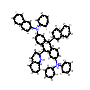 c1ccc(N(c2ccc3ccccc3c2)c2ccc3c(-c4ccc5ccccc5n4)c4cc(N(c5ccccc5)c5ccccc5)ccc4c(-c4ccc5ccccc5c4)c3c2)cc1